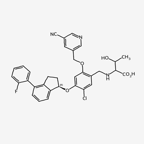 CC(O)C(NCc1cc(Cl)c(O[C@@H]2CCc3c(-c4ccccc4F)cccc32)cc1OCc1cncc(C#N)c1)C(=O)O